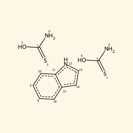 NC(O)=S.NC(O)=S.c1ccc2[nH]ccc2c1